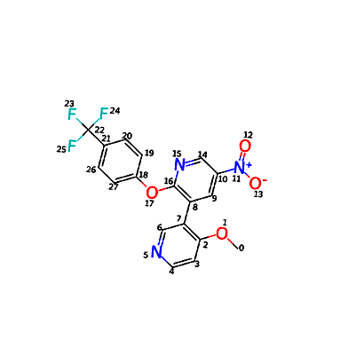 COc1ccncc1-c1cc([N+](=O)[O-])cnc1Oc1ccc(C(F)(F)F)cc1